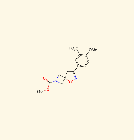 COc1ccc(C2=NOC3(C2)CN(C(=O)OC(C)(C)C)C3)cc1C(=O)O